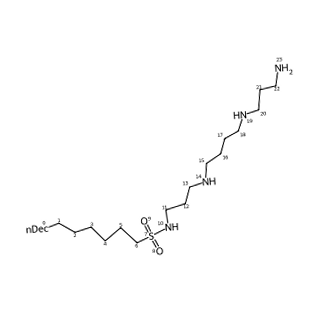 CCCCCCCCCCCCCCCCS(=O)(=O)NCCCNCCCCNCCCN